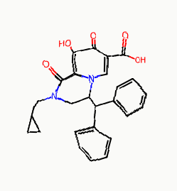 O=C(O)c1cn2c(c(O)c1=O)C(=O)N(CC1CC1)CC2C(c1ccccc1)c1ccccc1